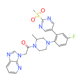 CC1CN(c2ccc(F)cc2-c2cnc(S(C)(=O)=O)nc2)CCN1C(=O)Cn1cnc2cccnc21